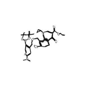 CCOC(=O)c1cn(C2CC2)c2c(COCc3cc(N(C)C)ncc3B3OC(C)(C)C(C)(C)O3)c(Cl)ccc2c1=O